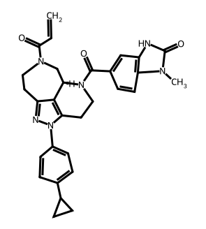 C=CC(=O)N1CCc2nn(-c3ccc(C4CC4)cc3)c3c2[C@H](C1)N(C(=O)c1ccc2c(c1)[nH]c(=O)n2C)CC3